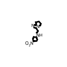 O=[N+]([O-])c1ccc(NCCc2cnc3n2CCCC3)cc1